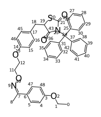 CCOc1ccc(/C(C)=N\OCCOc2ccc(CC3SC(=O)N(C(c4ccccc4)(c4ccccc4)c4ccccc4)C3=O)cc2)cc1